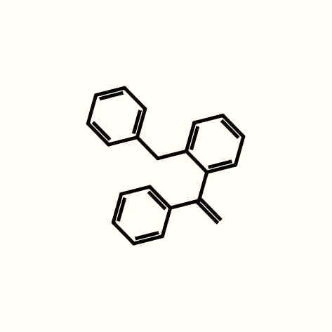 C=C(c1ccccc1)c1ccccc1Cc1ccccc1